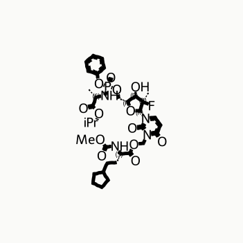 COC(=O)N[C@@H](CCC1CCCC1)C(=O)OCn1c(=O)ccn([C@@H]2O[C@H](COP(=O)(N[C@@H](C)C(=O)OC(C)C)Oc3ccccc3)[C@@H](O)[C@@]2(C)F)c1=O